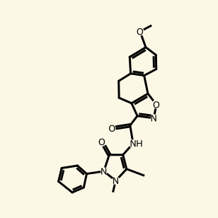 COc1ccc2c(c1)CCc1c(C(=O)Nc3c(C)n(C)n(-c4ccccc4)c3=O)noc1-2